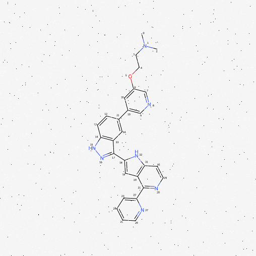 CN(C)CCOc1cncc(-c2ccc3[nH]nc(-c4cc5c(-c6ccccn6)nccc5[nH]4)c3c2)c1